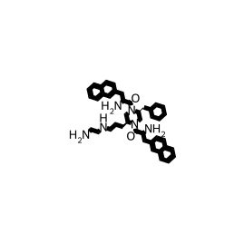 NCCNCCC[C@H]1CN(C(=O)C(N)Cc2ccc3ccccc3c2)[C@H](CC2CCCCC2)CN1C(=O)C(N)Cc1ccc2ccccc2c1